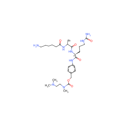 CC(C)C(NC(=O)CCCCCN)C(=O)N[C@@H](CCCNC(N)=O)C(=O)Nc1ccc(COC(=O)N(C)CCN(C)C)cc1